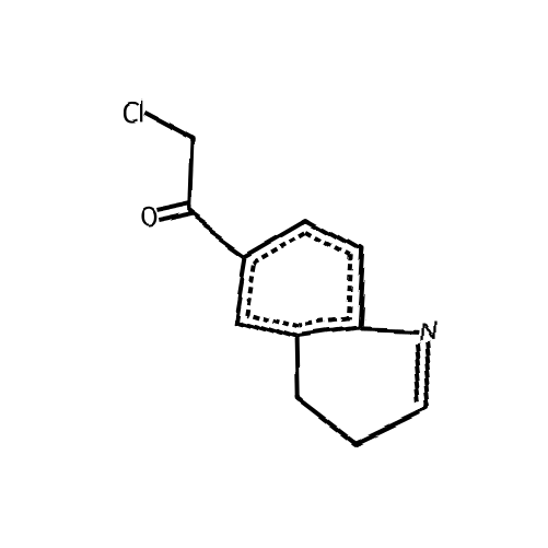 O=C(CCl)c1ccc2c(c1)CCC=N2